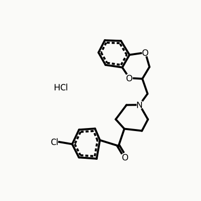 Cl.O=C(c1ccc(Cl)cc1)C1CCN(CC2COc3ccccc3O2)CC1